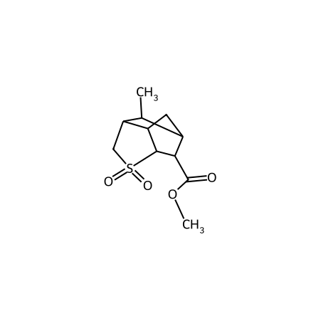 COC(=O)C1C2CC3C(CS(=O)(=O)C31)C2C